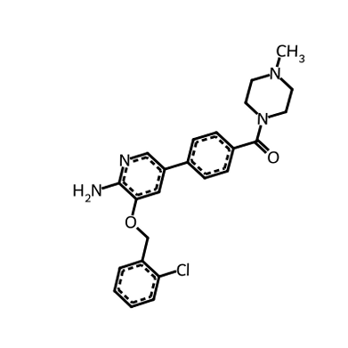 CN1CCN(C(=O)c2ccc(-c3cnc(N)c(OCc4ccccc4Cl)c3)cc2)CC1